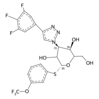 OCC1O[C@H](Sc2cccc(OC(F)(F)F)c2)C(O)[C@@H](n2cc(-c3cc(F)c(F)c(F)c3)nn2)[C@H]1O